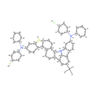 CC(C)(C)c1cc2c3ccc(N(c4ccccc4)c4ccc(F)cc4)cc3n3c4c5ccc6sc7cc(N(c8ccccc8)c8ccc(F)cc8)ccc7c6c5ccc4c(c1)c23